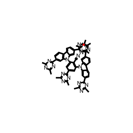 Cc1nc(C)nc(-c2cc(-n3c4cc(-c5nc(C)nc(C)n5)ccc4c4ccc(-c5nc(C)nc(C)n5)cc43)c(C#N)c(-n3c4cc(-c5nc(C)nc(C)n5)ccc4c4ccc(-c5nc(C)nc(C)n5)cc43)c2)n1